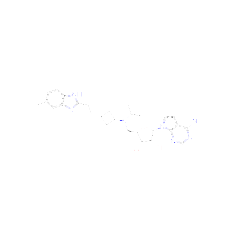 Cc1ccc2[nH]c(CC[C@H]3C[C@H](N(C[C@H]4O[C@@H](n5ccc6c(N)ncnc65)[C@H](O)[C@@H]4O)C(C)C)C3)nc2c1